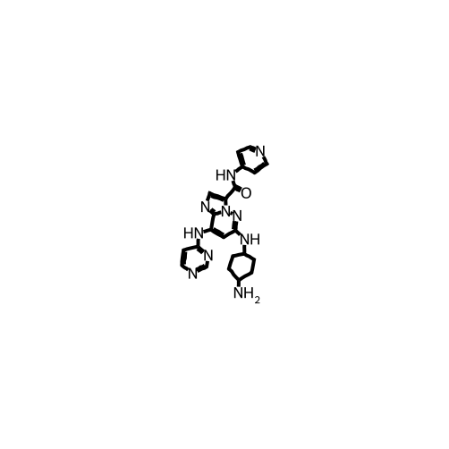 NC1CCC(Nc2cc(Nc3ccncn3)c3ncc(C(=O)Nc4ccncc4)n3n2)CC1